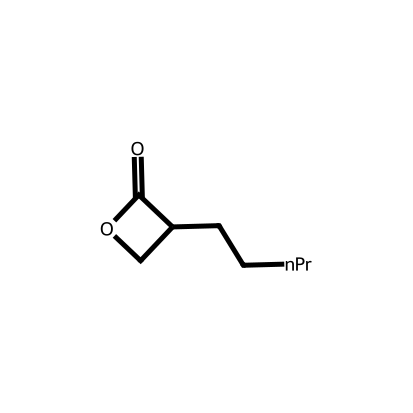 CCCCCC1COC1=O